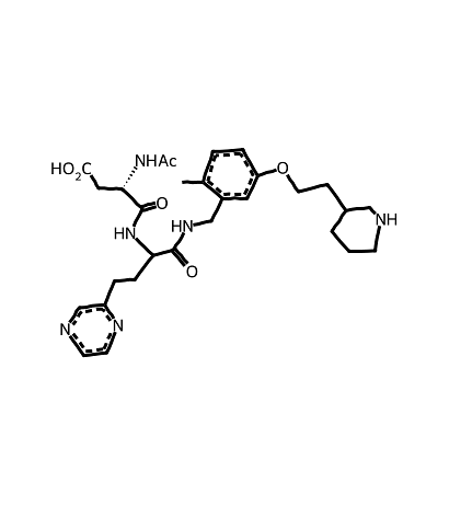 CC(=O)N[C@@H](CC(=O)O)C(=O)NC(CCc1cnccn1)C(=O)NCc1cc(OCCC2CCCNC2)ccc1C